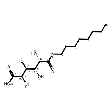 CCCCCCCCNC(=O)[C@@H](O)[C@H](O)[C@H](O)[C@@H](O)C(=O)O